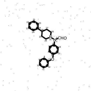 O=CN(c1ccc(Oc2ccccc2)cc1)N1CCC(c2ccccc2)CC1